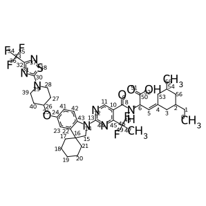 CCC1CC(=CC(NC(=O)c2cnc(N3CC4(CCCCC4)c4cc(OC5CCN(c6nc(C(F)(F)F)ns6)CC5)ccc43)nc2C(C)(F)F)C(=O)O)CC(C)C1